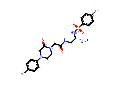 N#Cc1ccc(N2CCN(CC(=O)NC[C@H](NS(=O)(=O)c3ccc(F)cc3)C(=O)O)C(=O)C2)cc1